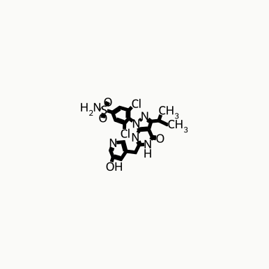 CCC(C)c1nn(-c2c(Cl)cc(S(N)(=O)=O)cc2Cl)c2nc(Cc3cncc(O)c3)[nH]c(=O)c12